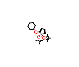 C[Si](C)(C)O[Si]1(O[Si](C)(C)C)C=CC=C1OC1CCCCC1